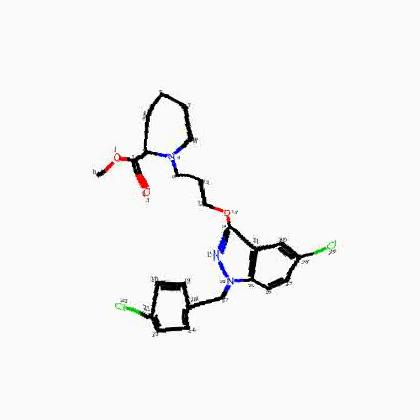 COC(=O)C1CCCCN1CCCOc1nn(Cc2ccc(Cl)cc2)c2ccc(Cl)cc12